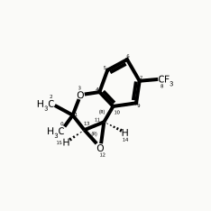 CC1(C)Oc2ccc(C(F)(F)F)cc2[C@H]2O[C@H]21